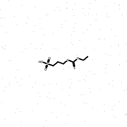 CCOC(=S)SCCCS(=O)(=O)O